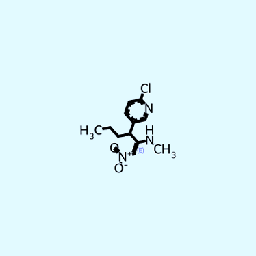 CCCC(/C(=C\[N+](=O)[O-])NC)c1ccc(Cl)nc1